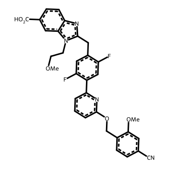 COCCn1c(Cc2cc(F)c(-c3cccc(OCc4ccc(C#N)cc4OC)n3)cc2F)nc2ccc(C(=O)O)cc21